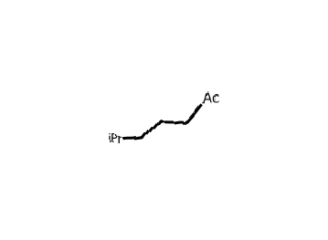 CC(=O)CCCC(C)C